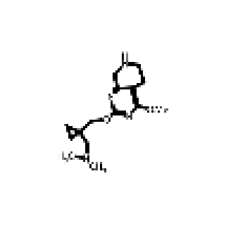 COc1nc(OCC2(CN(C)C)CC2)nc2c1CCNC2